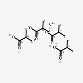 CC(C)C(=O)[O-].CC(C)C(=O)[O-].CC(C)C(=O)[O-].CC(C)C(=O)[O-].[C+4]